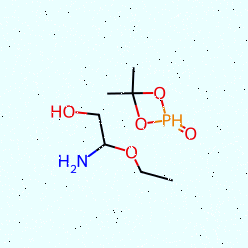 CC1(C)O[PH](=O)O1.CCOC(N)CO